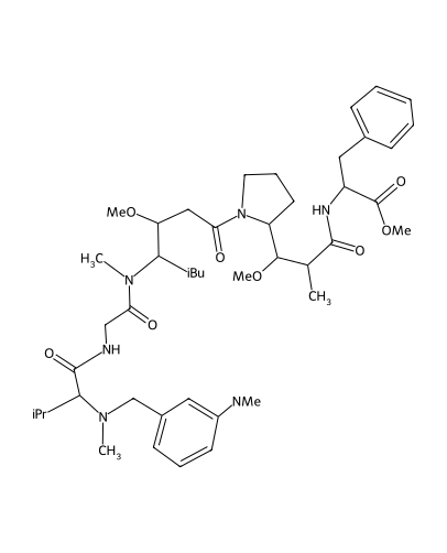 CCC(C)C(C(CC(=O)N1CCCC1C(OC)C(C)C(=O)NC(Cc1ccccc1)C(=O)OC)OC)N(C)C(=O)CNC(=O)C(C(C)C)N(C)Cc1cccc(NC)c1